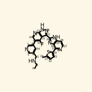 CCNCc1cncc(-c2cnc3[nH]nc(-c4nc5c(-c6ccc(C)s6)nccc5[nH]4)c3c2F)c1